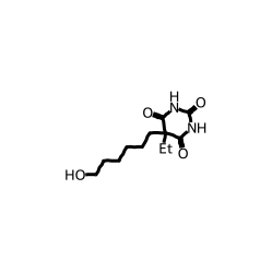 CCC1(CCCCCCO)C(=O)NC(=O)NC1=O